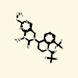 CSc1ncc2c(n1)N(C)C(=O)N(C1CCN(C(=O)C(F)(F)F)c3c1cccc3C(F)(F)F)C2